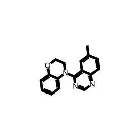 Cc1ccc2ncnc(N3CCOc4ccccc43)c2c1